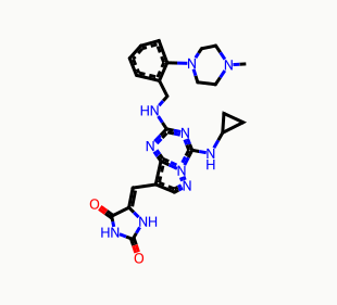 CN1CCN(c2ccccc2CNc2nc(NC3CC3)n3ncc(/C=C4\NC(=O)NC4=O)c3n2)CC1